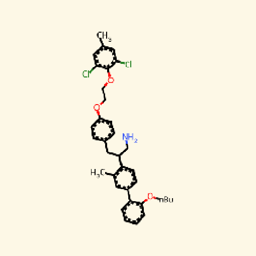 CCCCOc1ccccc1-c1ccc(C(CN)Cc2ccc(OCCOc3c(Cl)cc(C)cc3Cl)cc2)c(C)c1